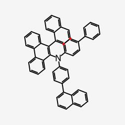 c1ccc(-c2ccc(N(c3ccc(-c4cccc5ccccc45)cc3)c3c(-c4cccc5ccccc45)c4ccccc4c4ccccc34)cc2)cc1